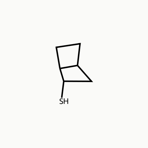 SC1CC2CCC12